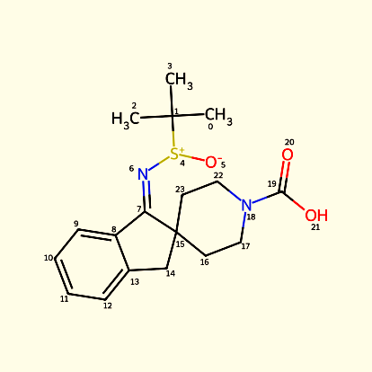 CC(C)(C)[S+]([O-])/N=C1/c2ccccc2CC12CCN(C(=O)O)CC2